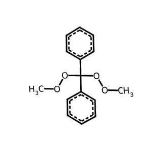 COOC(OOC)(c1ccccc1)c1ccccc1